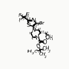 CC(C)(C)OC(=O)N1CCN(c2sc(C(F)(F)F)nc2Br)C[C@@H]1CO